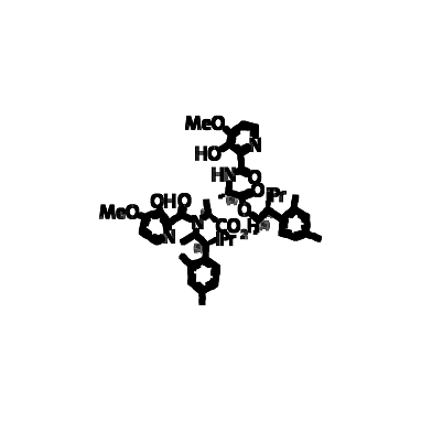 COc1ccnc(C(=O)N(C(C)[C@H](c2ccc(C)cc2C)C(C)C)[C@@H](C)C(=O)O)c1O.COc1ccnc(C(=O)N[C@@H](C)C(=O)O[C@@H](C)[C@H](c2ccc(C)cc2C)C(C)C)c1O